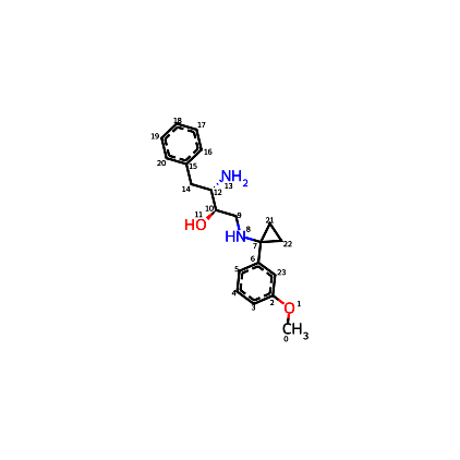 COc1cccc(C2(NC[C@@H](O)[C@@H](N)Cc3ccccc3)CC2)c1